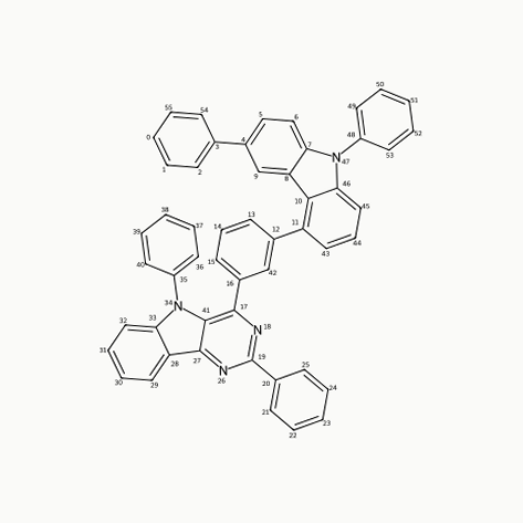 c1ccc(-c2ccc3c(c2)c2c(-c4cccc(-c5nc(-c6ccccc6)nc6c7ccccc7n(-c7ccccc7)c56)c4)cccc2n3-c2ccccc2)cc1